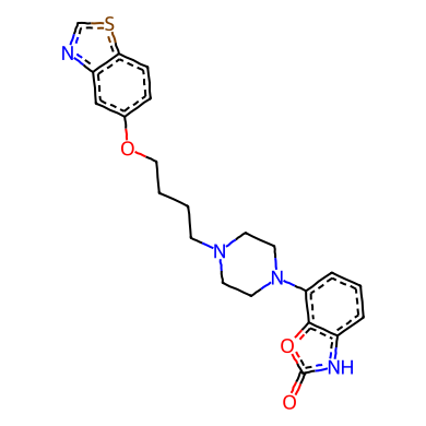 O=c1[nH]c2cccc(N3CCN(CCCCOc4ccc5scnc5c4)CC3)c2o1